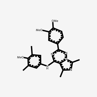 COc1ccc(-c2nc(Nc3cc(C)c(OC)c(C)c3)c3c(C)nc(C)n3n2)cc1OC